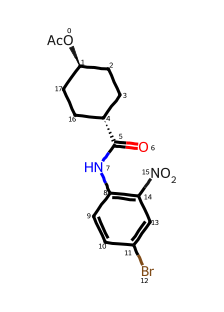 CC(=O)O[C@H]1CC[C@H](C(=O)Nc2ccc(Br)cc2[N+](=O)[O-])CC1